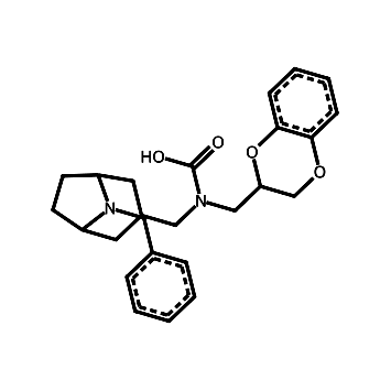 O=C(O)N(CC1CC2CCC(C1)N2Cc1ccccc1)CC1COc2ccccc2O1